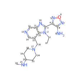 CCn1c(-c2nonc2N)nc2cncc(CN3CCC(NC)CC3)c21